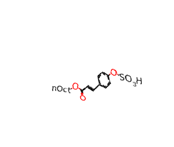 CCCCCCCCOC(=O)/C=C/c1ccc(OS(=O)(=O)O)cc1